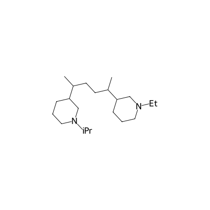 CCN1CCCC(C(C)CCC(C)C2CCCN(C(C)C)C2)C1